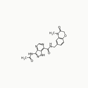 CC(=O)Nc1n[nH]c2c(C(=O)NCc3ccc4c(c3)N(C)C(=O)CO4)ncnc12